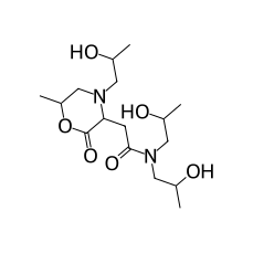 CC(O)CN(CC(C)O)C(=O)CC1C(=O)OC(C)CN1CC(C)O